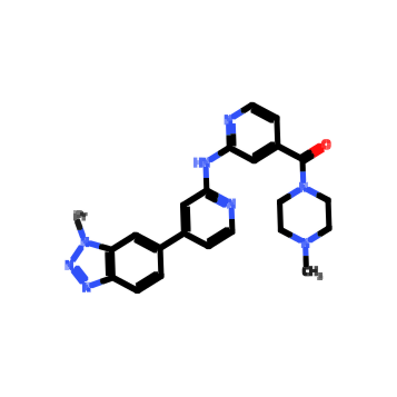 CC(C)n1nnc2ccc(-c3ccnc(Nc4cc(C(=O)N5CCN(C)CC5)ccn4)c3)cc21